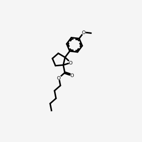 CCCCCOC(=O)C12CCCC1(c1ccc(OC)cc1)O2